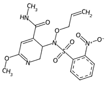 C=CCON(C1CN=C(OC)C=C1C(=O)NC)S(=O)(=O)c1ccccc1[N+](=O)[O-]